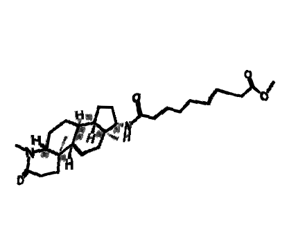 COC(=O)CCCCCCCC(=O)N[C@H]1CC[C@H]2[C@@H]3CC[C@H]4N(C)C(=O)CC[C@]4(C)[C@H]3CC[C@]12C